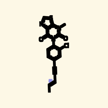 C/C=C/C#Cc1ccc(-n2c(=O)c3ncsc3n(C)c2=O)c(Cl)c1